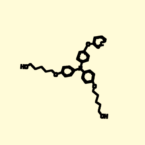 OCCCCCOc1ccc(N(c2ccc(OCCCCCO)cc2)c2ccc(Oc3ccccc3)cc2)cc1